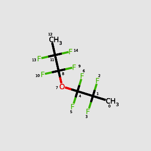 CC(F)(F)C(F)(F)OC(F)(F)C(C)(F)F